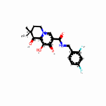 CCC[C@@]1(C)CCn2cc(C(=O)NCc3ccc(F)cc3F)c(=O)c(O)c2C1=O